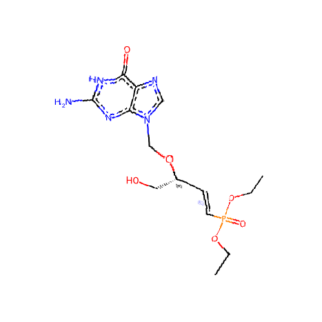 CCOP(=O)(/C=C/[C@H](CO)OCn1cnc2c(=O)[nH]c(N)nc21)OCC